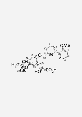 COc1ccccc1-c1nccc(COc2ccc(O[Si](C)(C)C(C)(C)C)cc2CC(O)C(=O)O)n1